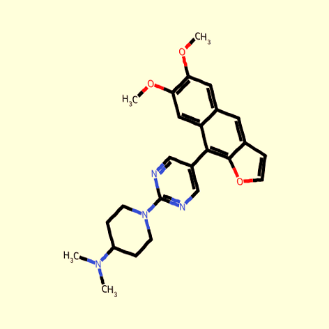 COc1cc2cc3ccoc3c(-c3cnc(N4CCC(N(C)C)CC4)nc3)c2cc1OC